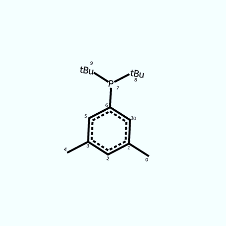 Cc1cc(C)cc(P(C(C)(C)C)C(C)(C)C)c1